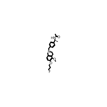 COc1c(OCCCF)ccc2c1CCN(Cc1ccc([C@H](C)NC(C)=O)cc1)C2